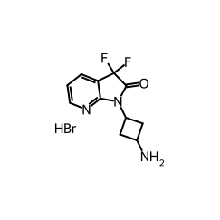 Br.NC1CC(N2C(=O)C(F)(F)c3cccnc32)C1